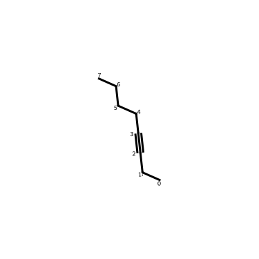 C[CH]C#CCCCC